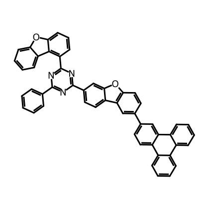 c1ccc(-c2nc(-c3ccc4c(c3)oc3ccc(-c5ccc6c7ccccc7c7ccccc7c6c5)cc34)nc(-c3cccc4oc5ccccc5c34)n2)cc1